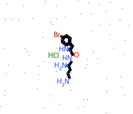 Cl.NCCCC(N)CNC(=O)c1cc2ccc(Br)cc2[nH]1